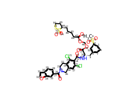 CS(=O)(=O)c1cccc(C[C@H](NC(=O)c2c(Cl)cc3c(c2Cl)CCN(C(=O)c2ccc4ccoc4c2)C3)C(=O)OCOC(=O)CCCC[C@@H]2CCSS2(=O)=O)c1